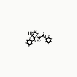 O=C(C1CC1c1ccccc1)N1CCNCC1Cc1ccccc1